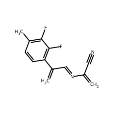 C=C(C#N)/N=C/C(=C)c1ccc(C)c(F)c1F